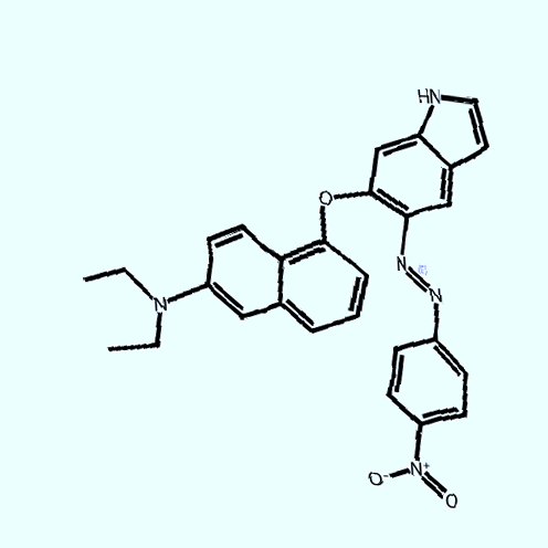 CCN(CC)c1ccc2c(Oc3cc4[nH]ccc4cc3/N=N/c3ccc([N+](=O)[O-])cc3)cccc2c1